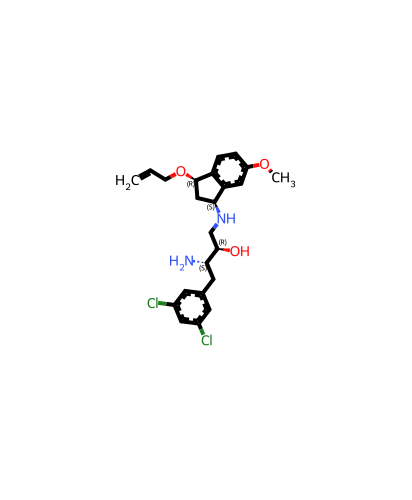 C=CCO[C@@H]1C[C@H](NC[C@@H](O)[C@@H](N)Cc2cc(Cl)cc(Cl)c2)c2cc(OC)ccc21